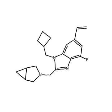 C=Cc1cc(F)c2nc(CN3CC4CC4C3)n(CC3CCC3)c2c1